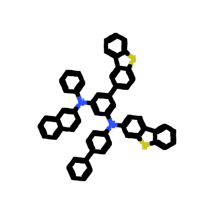 c1ccc(-c2ccc(N(c3cc(-c4ccc5sc6ccccc6c5c4)cc(N(c4ccccc4)c4ccc5ccccc5c4)c3)c3ccc4c(c3)sc3ccccc34)cc2)cc1